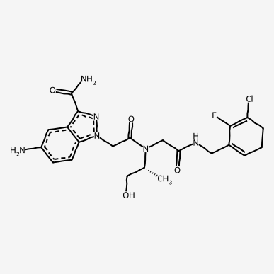 C[C@H](CO)N(CC(=O)NCC1=CCCC(Cl)=C1F)C(=O)Cn1nc(C(N)=O)c2cc(N)ccc21